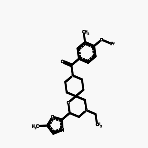 Cc1cnc(C2CN(CC(F)(F)F)CC3(CCN(C(=O)c4ccc(OC(C)C)c(C)c4)CC3)O2)o1